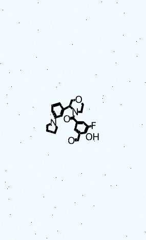 O=Cc1cc(C(=O)N2CCOCC2c2cccc(N3CCCC3)c2)cc(F)c1O